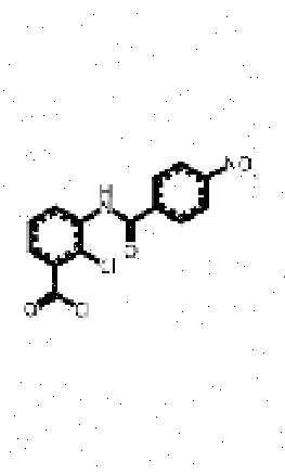 O=C(Nc1cccc(C(=O)Cl)c1Cl)c1ccc([N+](=O)[O-])cc1